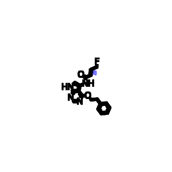 O=C(/C=C/CF)Nc1c[nH]c2ncnc(OCCc3ccccc3)c12